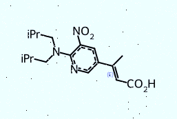 C/C(=C\C(=O)O)c1cnc(N(CC(C)C)CC(C)C)c([N+](=O)[O-])c1